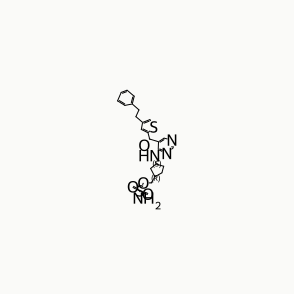 NS(=O)(=O)OC[C@@H]1CC[C@H](Nc2ncncc2C(=O)c2cc(CCc3ccccc3)cs2)C1